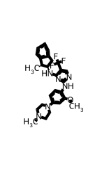 COc1cc(N2CCN(C)CC2)ccc1Nc1ncc(C(F)(F)F)c(N[C@@H]2Cc3ccccc3[C@H]2C)n1